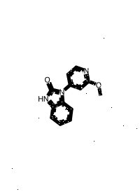 COc1cc(-n2c(=O)[nH]c3ccccc32)ccn1